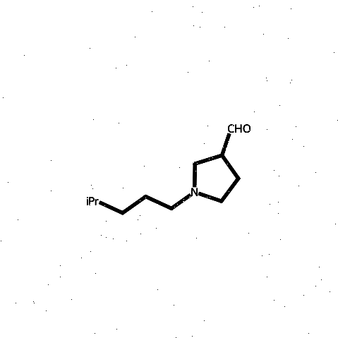 CC(C)CCCN1CCC(C=O)C1